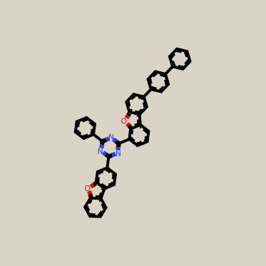 c1ccc(-c2ccc(-c3ccc4oc5c(-c6nc(-c7ccccc7)nc(-c7ccc8c(c7)oc7ccccc78)n6)cccc5c4c3)cc2)cc1